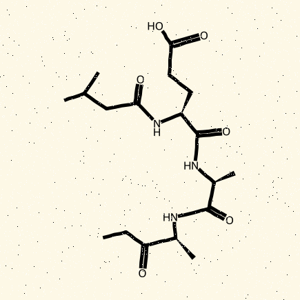 CCC(=O)[C@H](C)NC(=O)[C@H](C)NC(=O)[C@H](CCC(=O)O)NC(=O)CC(C)C